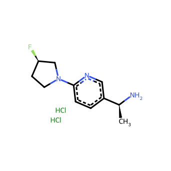 C[C@H](N)c1ccc(N2CC[C@@H](F)C2)nc1.Cl.Cl